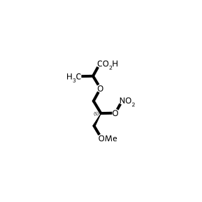 COC[C@@H](COC(C)C(=O)O)O[N+](=O)[O-]